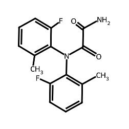 Cc1cccc(F)c1N(C(=O)C(N)=O)c1c(C)cccc1F